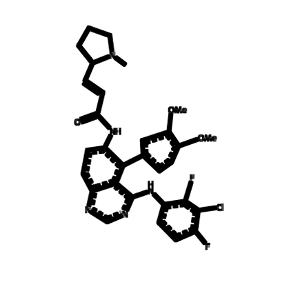 COc1ccc(-c2c(NC(=O)C=CC3CCCN3C)ccc3ncnc(Nc4ccc(F)c(Cl)c4F)c23)cc1OC